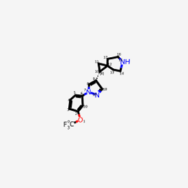 FC(F)(F)Oc1cccc(-n2cc([C@@H]3CC34CCNCC4)cn2)c1